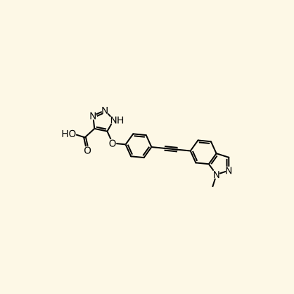 Cn1ncc2ccc(C#Cc3ccc(Oc4[nH]nnc4C(=O)O)cc3)cc21